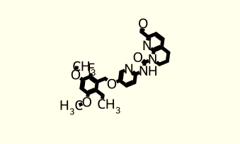 CCc1c(OC)cc(OC)c(F)c1COc1ccc(NC(=O)N2CCCc3ccc(C=O)nc32)nc1